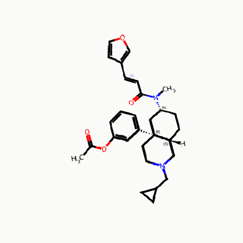 CC(=O)Oc1cccc([C@@]23CCN(CC4CC4)C[C@H]2CC[C@@H](N(C)C(=O)/C=C/c2ccoc2)C3)c1